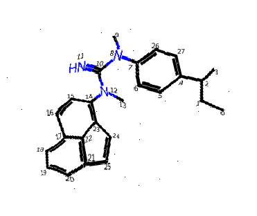 CCC(C)c1ccc(N(C)C(=N)N(C)c2ccc3cccc4c3c2C=C4)cc1